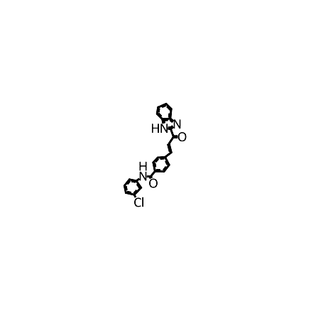 O=C(Nc1cccc(Cl)c1)c1ccc(C=CC(=O)c2nc3ccccc3[nH]2)cc1